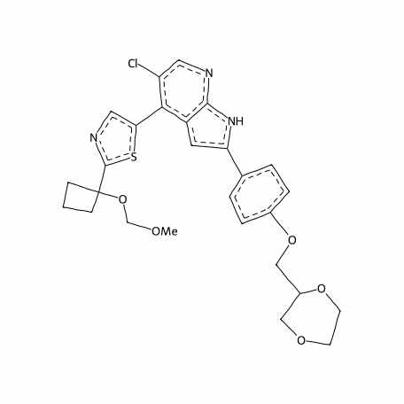 COCOC1(c2ncc(-c3c(Cl)cnc4[nH]c(-c5ccc(OCC6COCCO6)cc5)cc34)s2)CCC1